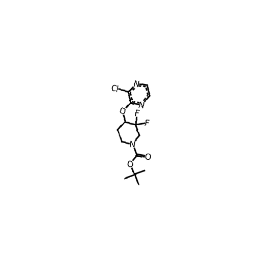 CC(C)(C)OC(=O)N1CCC(Oc2nccnc2Cl)C(F)(F)C1